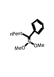 CCCCCC(c1ccccc1)[SiH](OC)OC